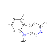 CC(=O)n1c2cnc(C)cc2c2c(C)cccc21